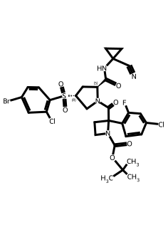 CC(C)(C)OC(=O)N1CCC1(C(=O)N1C[C@H](S(=O)(=O)c2ccc(Br)cc2Cl)C[C@H]1C(=O)NC1(C#N)CC1)c1ccc(Cl)cc1F